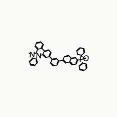 CN1c2ccccc2N2c3cc(-c4cccc(-c5ccc6cc(P(=O)(c7ccccc7)C7C=CC=CC7)ccc6c5)c4)ccc3-c3ccccc3C12